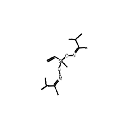 C=C[Si](C)(ON=C(C)C(C)C)ON=C(C)C(C)C